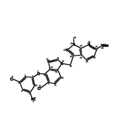 [C-]#[N+]c1cc(Cl)cc(Oc2c(Cl)ccc3c2ncn3Cc2nn(C)c3nc(NC)ccc23)c1